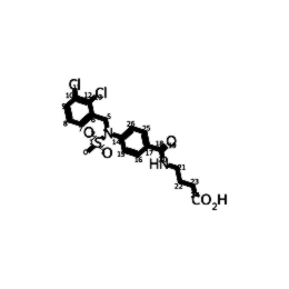 CS(=O)(=O)N(Cc1cccc(Cl)c1Cl)c1ccc(C(=O)NCCCC(=O)O)cc1